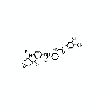 CCn1c(=O)n(CC2CC2)c(=O)c2cc(NC(=O)N3CCCC(NC(=O)Cc4ccc(C#N)c(Cl)c4)C3)ccc21